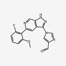 COc1cccc(F)c1-c1cc2c(-n3cnc(C=O)c3)n[nH]c2cn1